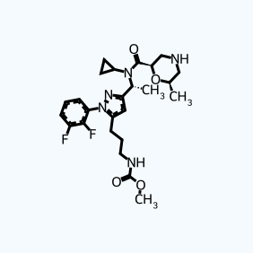 COC(=O)NCCCc1cc([C@@H](C)N(C(=O)[C@H]2CNC[C@@H](C)O2)C2CC2)nn1-c1cccc(F)c1F